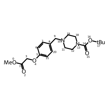 COC(=O)COc1ccc(CN2CCN(C(=O)OC(C)(C)C)CC2)cc1